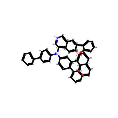 c1ccc(-c2ccc(N(c3ccc(-c4ccccc4)c(-c4cccc5ccccc45)c3)c3cncc4cc5c(cc34)oc3ccccc35)cc2)cc1